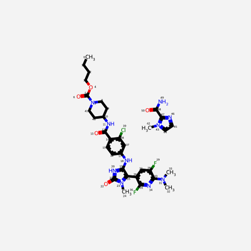 CCCCOC(=O)N1CCC(NC(=O)c2ccc(Nc3[nH]c(=O)n(C)c3-c3cc(F)c(N(C)C)nc3F)cc2Cl)CC1.Cn1ccnc1C(N)=O